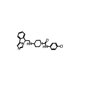 O=C(Nc1ccc(Cl)cc1)N1CCC(NCC2c3ccccc3-c3cncn32)CC1